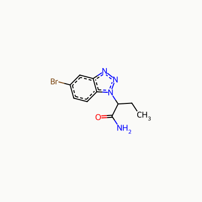 CCC(C(N)=O)n1nnc2cc(Br)ccc21